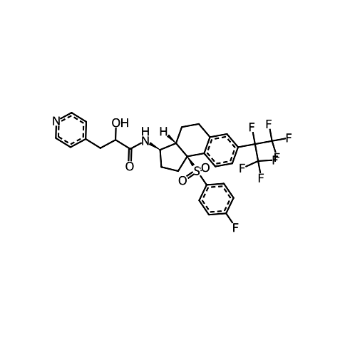 O=C(N[C@@H]1CC[C@@]2(S(=O)(=O)c3ccc(F)cc3)c3ccc(C(F)(C(F)(F)F)C(F)(F)F)cc3CC[C@@H]12)C(O)Cc1ccncc1